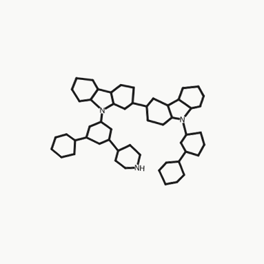 C1CCC(C2CCCC(N3C4CCCCC4C4CC(C5CCC6C7CCCCC7N(C7CC(C8CCCCC8)CC(C8CCNCC8)C7)C6C5)CCC43)C2)CC1